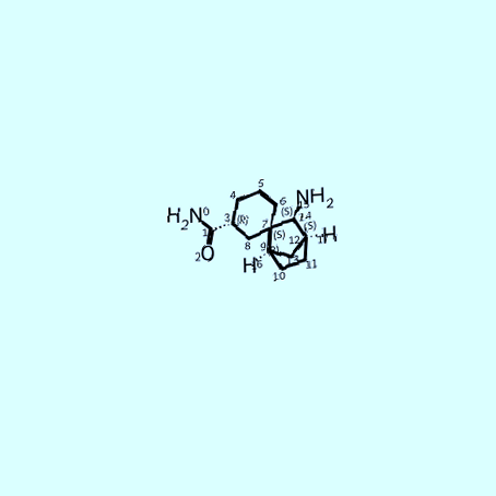 NC(=O)[C@@H]1CCC[C@]2(C1)[C@@H]1CC[C@@H](C1)[C@@H]2N